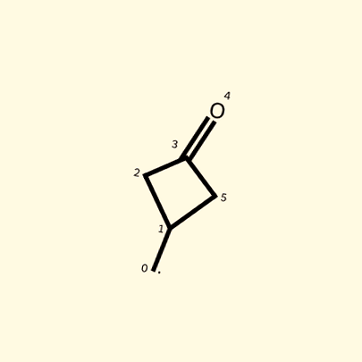 [CH2]C1CC(=O)C1